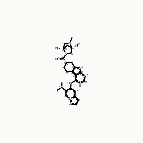 CN(C)c1cn2nccc2cc1Nc1ncnc2sc3c(c12)CC[C@H](C(=O)N1C[C@H]2C[C@@H]1CN2C)C3